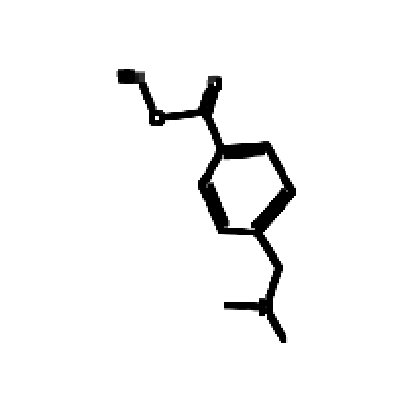 CN(C)Cc1ccc(C(=O)OC(C)(C)C)cc1